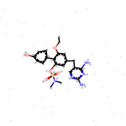 CCOc1cc(Cc2cnc(N)nc2N)cc(OS(=O)(=O)N(C)C)c1-c1ccc(O)cc1